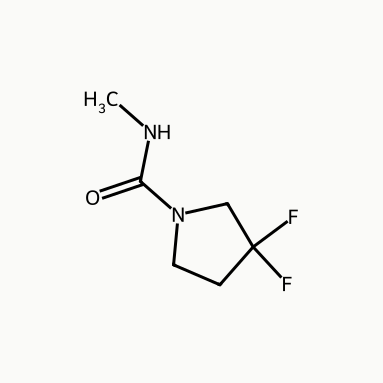 CNC(=O)N1CCC(F)(F)C1